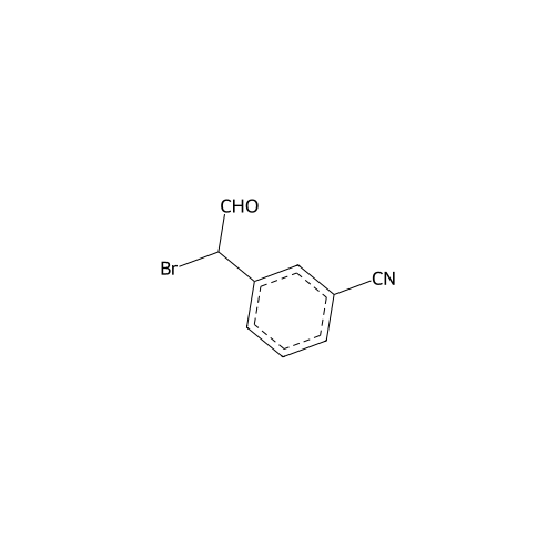 N#Cc1cccc(C(Br)C=O)c1